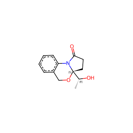 C[C@@H](O)[C@@]12CCC(=O)N1c1ccccc1CO2